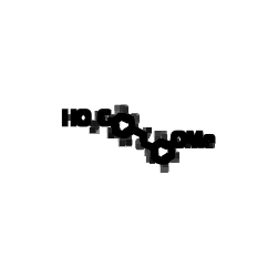 COc1cccc(C=Cc2ccc(C(=O)O)cc2)c1